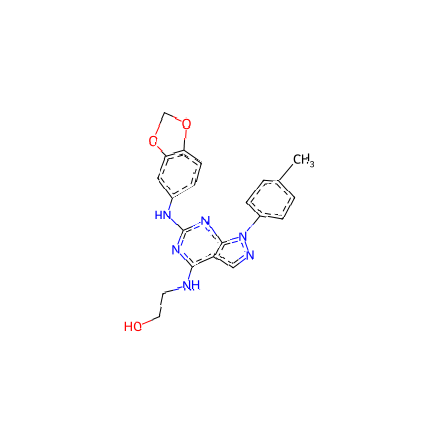 Cc1ccc(-n2ncc3c(NCCO)nc(Nc4ccc5c(c4)OCO5)nc32)cc1